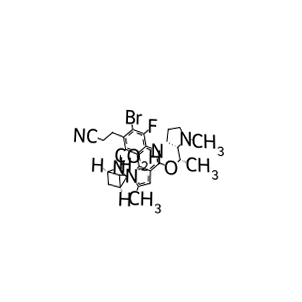 Cc1cc2c(O[C@@H](C)[C@@H]3CCCN3C)nc3c(F)c(Br)c(CCC#N)cc3c2n1[C@H]1[C@@H]2C[C@H]1N(C(=O)O)C2